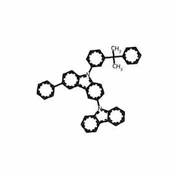 CC(C)(c1ccccc1)c1cccc(-n2c3ccc(-c4ccccc4)cc3c3cc(-n4c5ccccc5c5ccccc54)ccc32)c1